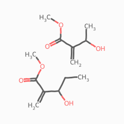 C=C(C(=O)OC)C(C)O.C=C(C(=O)OC)C(O)CC